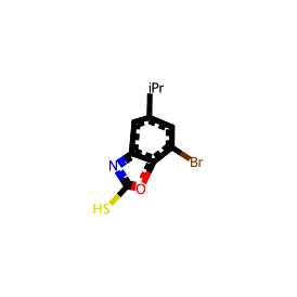 CC(C)c1cc(Br)c2oc(S)nc2c1